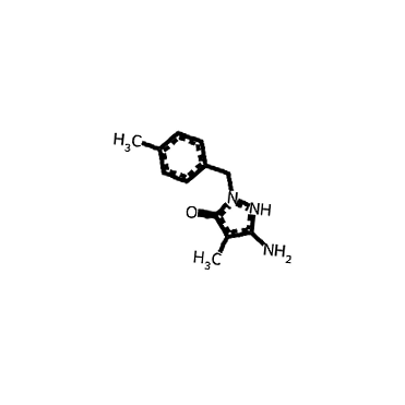 Cc1ccc(Cn2[nH]c(N)c(C)c2=O)cc1